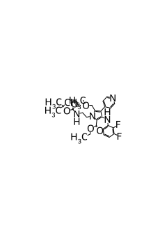 CCOC(=O)c1c(Nc2cccc(F)c2F)c(-c2ccncc2)c(COC)n1CCNC(=O)OC(C)(C)C